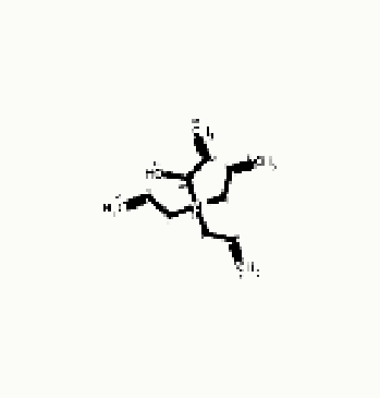 C=CC[N+](CC=C)(CC=C)C(O)C=C